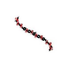 C=CC(=O)OC(C)COC(=O)CCC(=O)OCCc1ccc(OC(=O)C2CCC(C(=O)Oc3ccc(OC(=O)C4CCC(C(=O)Oc5ccc(CCOC(=O)CCC(=O)OCC(C)OC(=O)C=C)cc5)CC4)c(C)c3)CC2)cc1